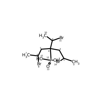 CC(Br)CC(CC(C)Br)(C(C)Br)P(=O)(O)O